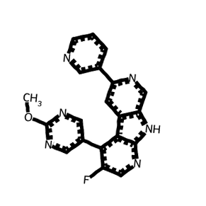 COc1ncc(-c2c(F)cnc3[nH]c4cnc(-c5cccnc5)cc4c23)cn1